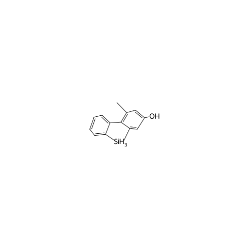 Cc1cc(O)cc(C)c1-c1ccccc1[SiH3]